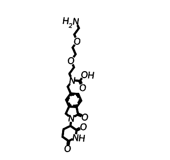 NCCOCCOCCN(Cc1ccc2c(c1)CN(C1CCC(=O)NC1=O)C2=O)C(=O)O